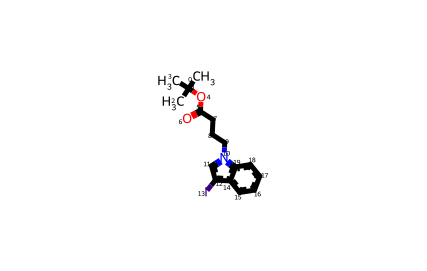 CC(C)(C)OC(=O)CCCn1cc(I)c2ccccc21